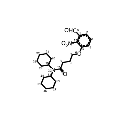 O=Cc1cccc(OCCCC(=O)N(C2CCCCC2)C2CCCCC2)c1[N+](=O)[O-]